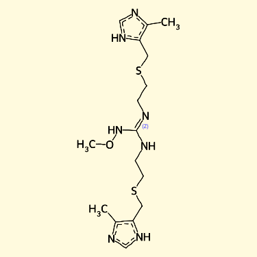 CON/C(=N\CCSCc1[nH]cnc1C)NCCSCc1[nH]cnc1C